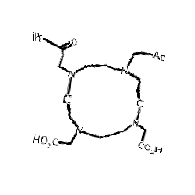 CC(=O)CN1CCN(CC(=O)O)CCN(CC(=O)O)CCN(CC(=O)C(C)C)CC1